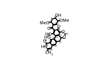 COC1CC(O)C(OC)c2oc3c4c5c(c(O)c3c(=O)c21)-c1c(cc2cc(C)[nH]c(=O)c2c1O)CC5OCO4